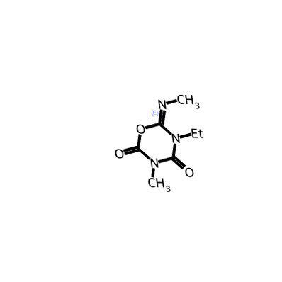 CCn1c(=O)n(C)c(=O)o/c1=N/C